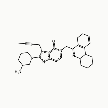 CC#CCn1c(N2CCCC(N)C2)nc2ccn(CC3=NC4CCCCC4C4=C3CCC=C4)c(=O)c21